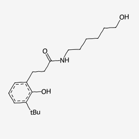 CC(C)(C)c1cccc(CCC(=O)NCCCCCCO)c1O